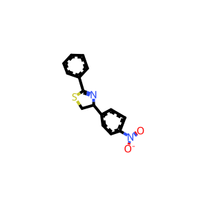 O=[N+]([O-])c1ccc(C2CSC(c3ccccc3)=N2)cc1